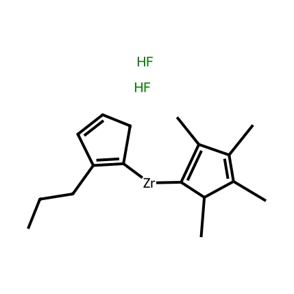 CCCC1=[C]([Zr][C]2=C(C)C(C)=C(C)C2C)CC=C1.F.F